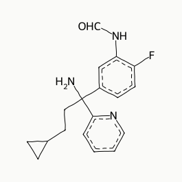 NC(CCC1CC1)(c1ccc(F)c(NC=O)c1)c1ccccn1